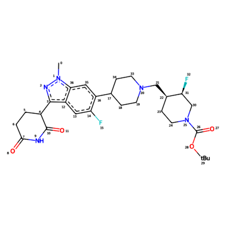 Cn1nc(C2CCC(=O)NC2=O)c2cc(F)c(C3CCN(C[C@@H]4CCN(C(=O)OC(C)(C)C)C[C@@H]4F)CC3)cc21